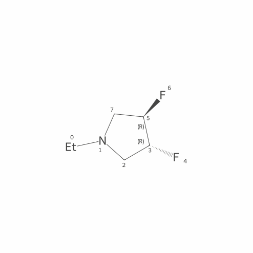 CCN1C[C@@H](F)[C@H](F)C1